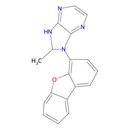 CC1Nc2nccnc2N1c1cccc2c1oc1ccccc12